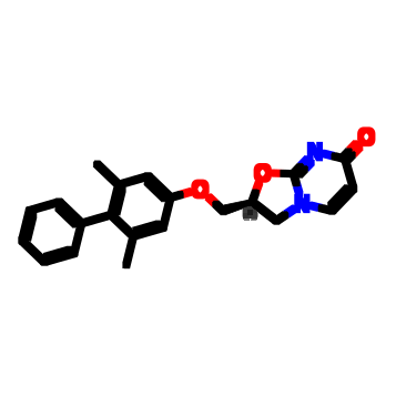 Cc1cc(OC[C@@H]2Cn3ccc(=O)nc3O2)cc(C)c1-c1ccccc1